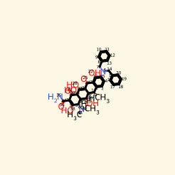 C[C@@H]1c2ccc(N(Cc3ccccc3)Cc3ccccc3)c(O)c2C(=O)C2=C(O)[C@@]3(O)C(=O)C(C(N)=O)=C(O)[C@@H](N(C)C)[C@@H]3[C@@H](O)[C@@H]21